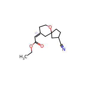 CCOC(=O)/C=C1/CCOC2(CCC(C#N)C2)C1